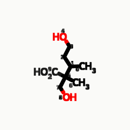 CC(CCO)C(C)(CO)C(=O)O